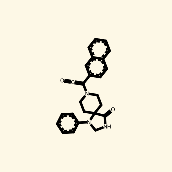 O=C=C(c1ccc2ccccc2c1)N1CCC2(CC1)C(=O)NCN2c1ccccc1